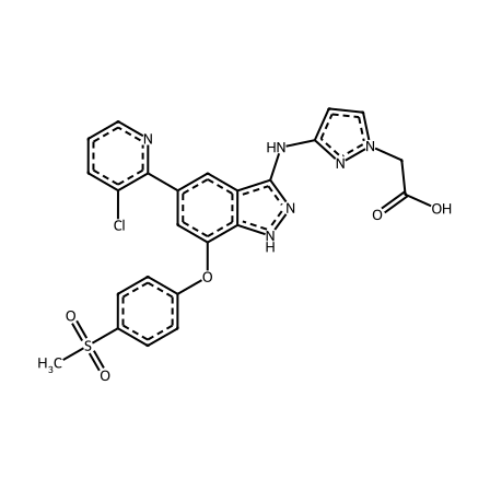 CS(=O)(=O)c1ccc(Oc2cc(-c3ncccc3Cl)cc3c(Nc4ccn(CC(=O)O)n4)n[nH]c23)cc1